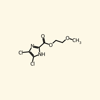 COCCOC(=O)c1nc(Cl)c(Cl)[nH]1